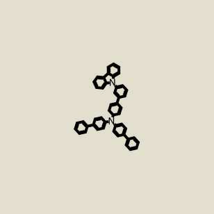 C1=CC(N(c2ccc(-c3ccccc3)cc2)c2ccc(-c3ccccc3)cc2)CC=C1c1cccc(-n2c3ccccc3c3ccccc32)c1